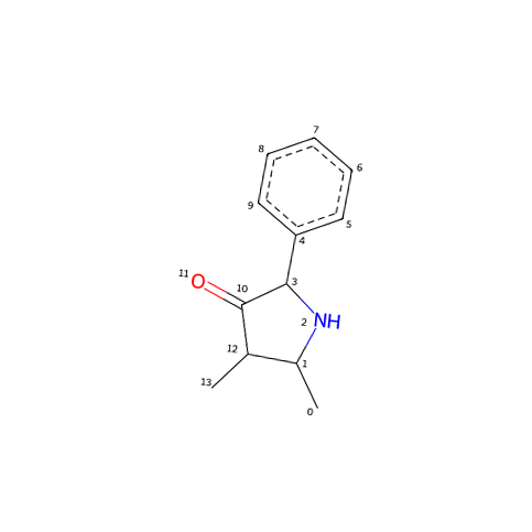 CC1NC(c2ccccc2)C(=O)C1C